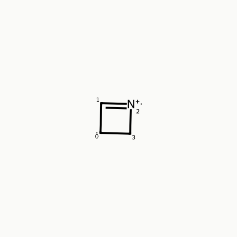 [CH]1C=[N+]C1